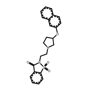 O=C1c2ccccc2S(=O)(=O)N1CCN1CCC(Oc2ccc3ccccc3c2)C1